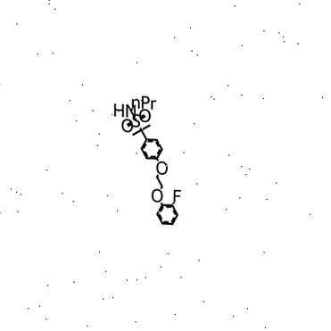 CCCNS(=O)(=O)C(C)(C)c1ccc(OCCOc2ccccc2F)cc1